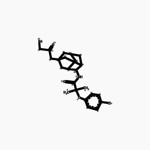 CC(C)(Oc1ccc(Cl)cc1)C(=O)NC1C2CC3CC1CC(CC(=O)CS)(C3)C2